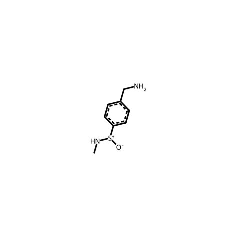 CN[S+]([O-])c1ccc(CN)cc1